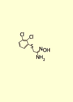 NC(CSc1cccc(Cl)c1Cl)=NO